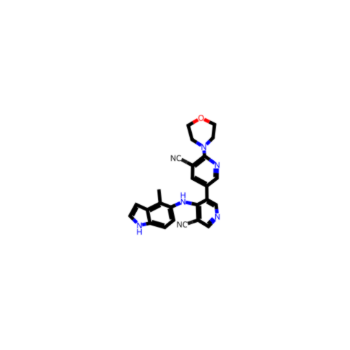 Cc1c(Nc2c(C#N)cncc2-c2cnc(N3CCOCC3)c(C#N)c2)ccc2[nH]ccc12